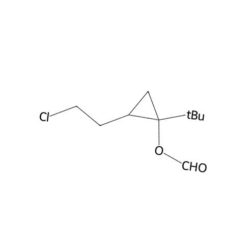 CC(C)(C)C1(OC=O)CC1CCCl